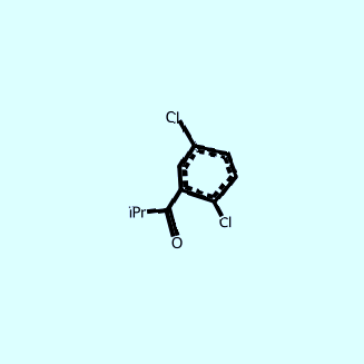 CC(C)C(=O)c1cc(Cl)ccc1Cl